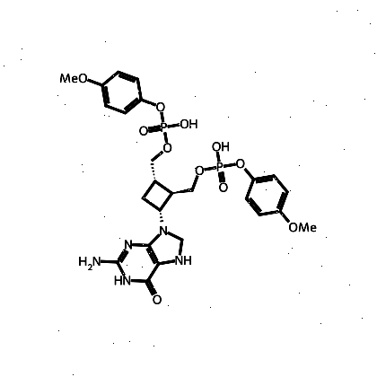 COc1ccc(OP(=O)(O)OC[C@H]2C[C@@H](N3CNc4c3nc(N)[nH]c4=O)[C@@H]2COP(=O)(O)Oc2ccc(OC)cc2)cc1